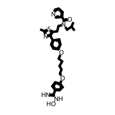 Cc1nc(-c2ccc(OCCCCCOc3ccc(C(=N)NO)cc3)cc2)c(CCN(CC(C)C)C(=O)c2cccnc2)s1